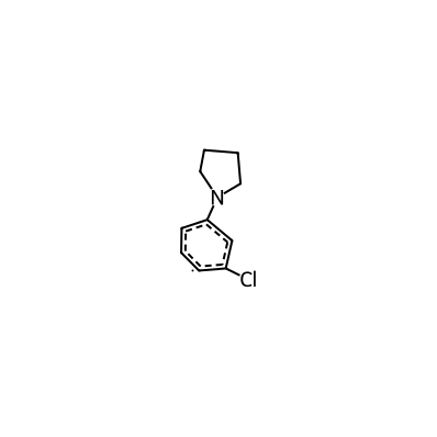 Clc1[c]ccc(N2CCCC2)c1